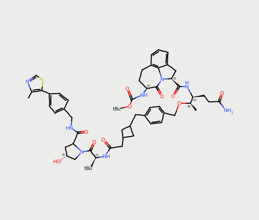 Cc1ncsc1-c1ccc(CNC(=O)C2C[C@@H](O)CN2C(=O)[C@@H](NC(=O)CC2CC(Cc3ccc(CO[C@H](C)[C@H](CCC(N)=O)NC(=O)[C@@H]4Cc5cccc6c5N4C(=O)[C@@H](NC(=O)OC(C)(C)C)CC6)cc3)C2)C(C)(C)C)cc1